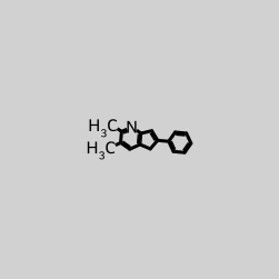 Cc1cc2c(nc1C)C=C(c1ccccc1)C2